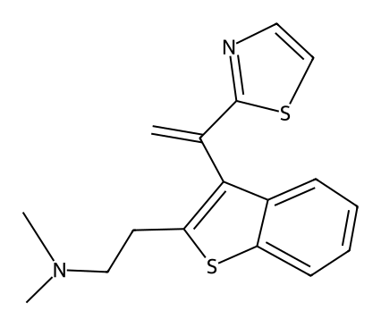 C=C(c1nccs1)c1c(CCN(C)C)sc2ccccc12